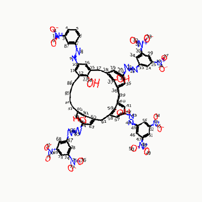 O=[N+]([O-])c1cccc(N=Nc2cc3c(O)c(c2)Cc2cc(N=Nc4cc([N+](=O)[O-])cc([N+](=O)[O-])c4)cc(c2O)Cc2cc(N=Nc4cc([N+](=O)[O-])cc([N+](=O)[O-])c4)cc(c2O)Cc2cc(N=Nc4cc([N+](=O)[O-])cc([N+](=O)[O-])c4)cc(c2O)CCCC3)c1